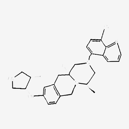 C[C@@H]1CN(c2ccc(C#N)c3ncccc23)C[C@@H]2Cc3cc(N[C@@H]4CNC[C@@H]4C)ccc3CN21